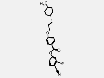 C[C@H]1CC[C@H](CCCOc2ccc(C(=O)Oc3ccc(C#N)c(F)c3)cc2)CC1